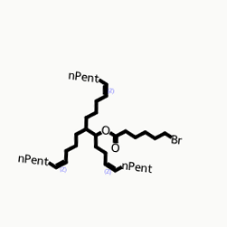 CCCCC/C=C\CCCC(CCC/C=C\CCCCC)C(CC/C=C\CCCCC)OC(=O)CCCCCBr